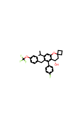 CC(C)c1cc2c(c(-c3ccc(F)cc3)c1Cc1ccc(OC(F)(F)F)cc1)[C@@H](O)CC1(CCC1)O2